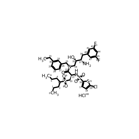 CCCC(CCC)S(=O)(=O)C[C@H](NS(=O)(=O)c1ccc(Cl)s1)C(=O)N(Cc1cccc(CC)c1)C[C@@H](O)[C@@H](N)Cc1cc(F)cc(F)c1.Cl